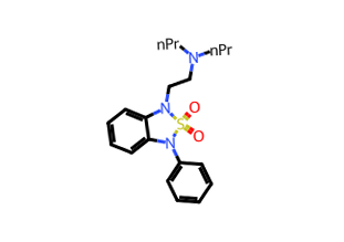 CCCN(CCC)CCN1c2ccccc2N(c2ccccc2)S1(=O)=O